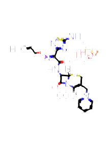 C=CCON=C(C(=O)NC1C(=O)N2C(C(=O)[O-])=C(C[n+]3ccccc3)CS[C@@H]12)c1nsc(N)n1.Cl.O.O